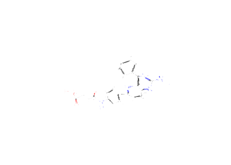 Nc1nc(-c2ccccc2)c2nc(-c3ccc(NC(=O)CCC(=O)O)cc3)ccc2n1